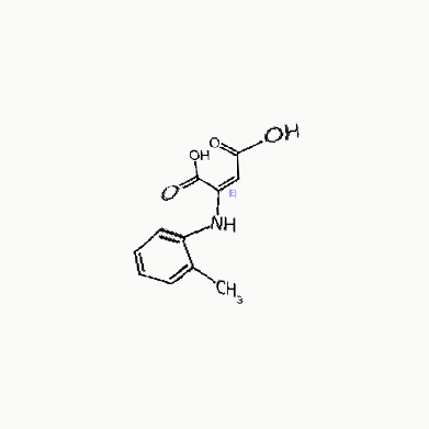 Cc1ccccc1N/C(=C/C(=O)O)C(=O)O